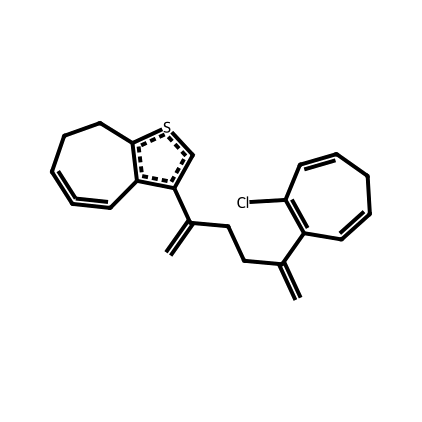 C=C(CCC(=C)c1csc2c1C=C=CCC2)C1=C(Cl)C=CCC=C1